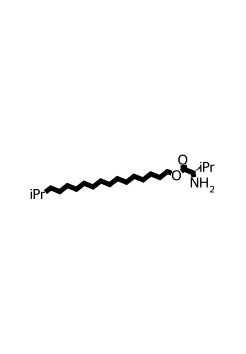 CC(C)CCCCCCCCCCCCCCCOC(=O)[C@@H](N)C(C)C